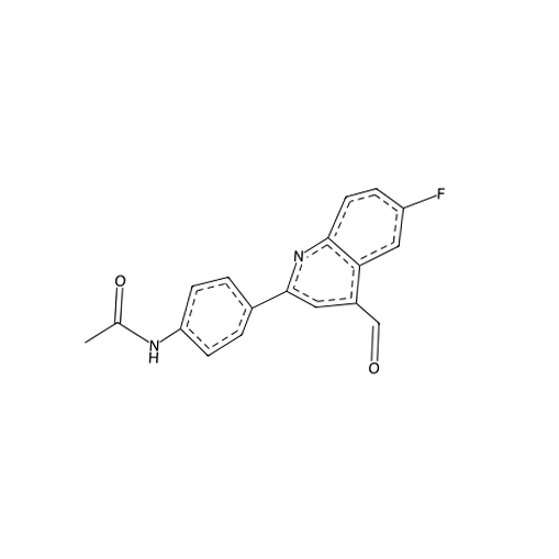 CC(=O)Nc1ccc(-c2cc(C=O)c3cc(F)ccc3n2)cc1